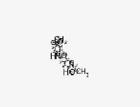 CC(O)CN1CCC(CC(=O)Nc2ccc(S(C)(=O)=O)cc2)CC1